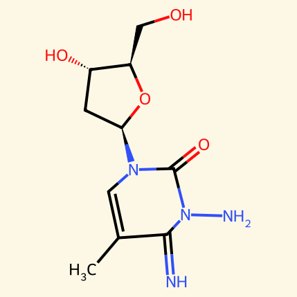 Cc1cn([C@H]2C[C@H](O)[C@@H](CO)O2)c(=O)n(N)c1=N